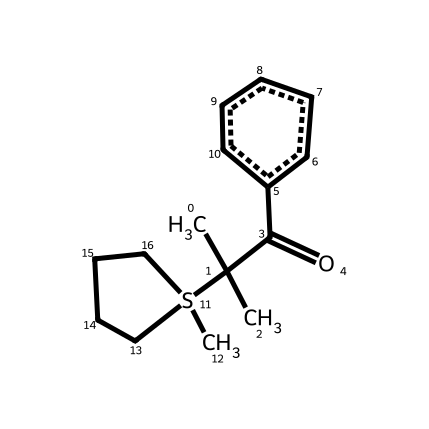 CC(C)(C(=O)c1ccccc1)S1(C)CCCC1